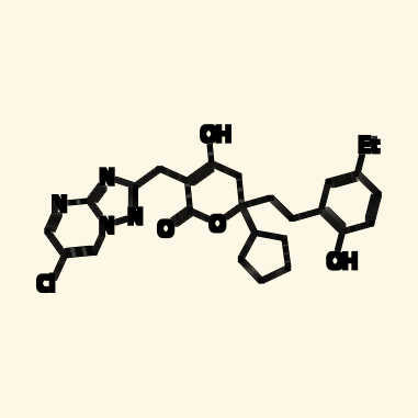 CCc1ccc(O)c(CCC2(C3CCCC3)CC(O)=C(Cc3nc4ncc(Cl)cn4n3)C(=O)O2)c1